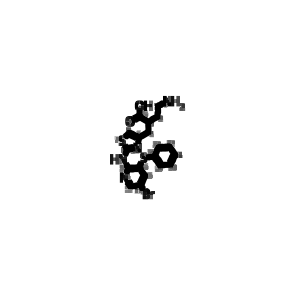 NCCC(Cc1csc(Nc2ncc(Br)cc2Sc2ccccc2)n1)C(=O)O